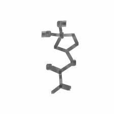 C=C(C)C(=O)OC1CCS(O)(O)C1